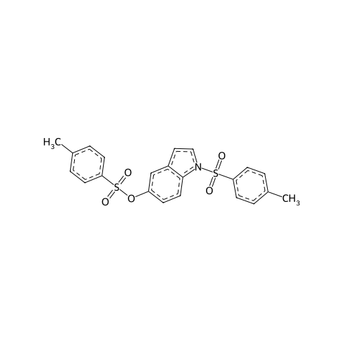 Cc1ccc(S(=O)(=O)Oc2ccc3c(ccn3S(=O)(=O)c3ccc(C)cc3)c2)cc1